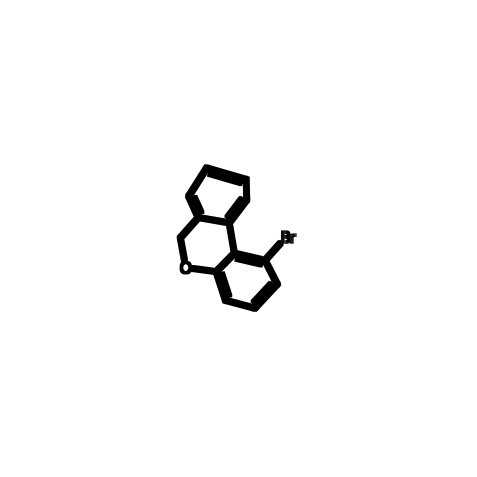 Brc1cccc2c1-c1ccccc1CO2